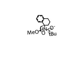 COC(=O)C[C@]1(N[S@@+]([O-])C(C)(C)C)CCCc2ccccc21